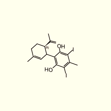 C=C(C)[C@@H]1CCC(C)=CC1c1c(O)c(I)c(C)c(I)c1O